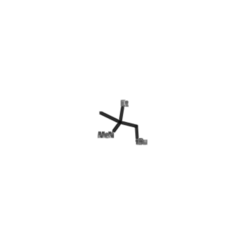 CCC(C)(CC(C)(C)C)NC